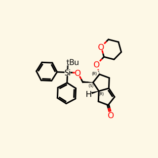 CC(C)(C)[Si](OC[C@H]1[C@H](OC2CCCCO2)CC2=CC(=O)C[C@@H]21)(c1ccccc1)c1ccccc1